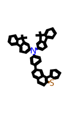 CC1(C)c2ccccc2-c2ccc(N(c3ccc(-c4ccc5ccc6sc7ccccc7c6c5c4)cc3)c3ccc4c(c3)C(C)(C)c3ccccc3-4)cc21